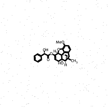 COc1ccc2c3c1O[C@@H]1C(OC(=O)[C@H](O)c4ccccc4)=CC[C@]4(O)[C@H](C2)N(C)CC[C@@]314